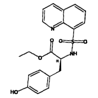 CCOC(=O)[C@H](Cc1ccc(O)cc1)NS(=O)(=O)c1cccc2cccnc12